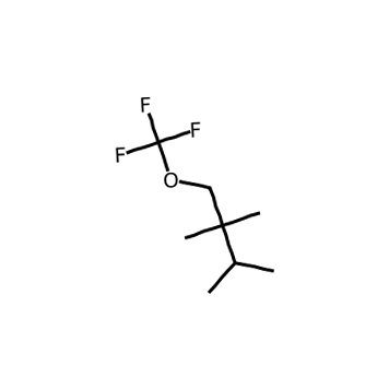 CC(C)C(C)(C)COC(F)(F)F